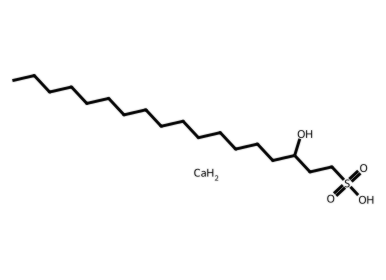 CCCCCCCCCCCCCCCC(O)CCS(=O)(=O)O.[CaH2]